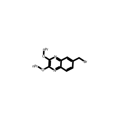 CCCOc1nc2ccc(CBr)cc2nc1OCCC